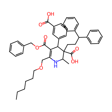 CCCCCCOCC1=C(C(=O)OCc2ccccc2)C(c2cccc(C(=O)O)c2)C(CCC(c2ccccc2)c2ccccc2)(C(=O)O)C(C)N1